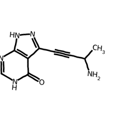 CC(N)C#Cc1n[nH]c2nc[nH]c(=O)c12